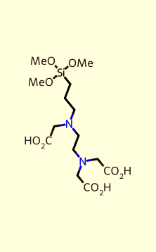 CO[Si](CCCN(CCN(CC(=O)O)CC(=O)O)CC(=O)O)(OC)OC